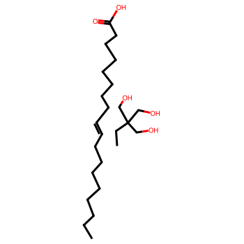 CCC(CO)(CO)CO.CCCCCCCCC=CCCCCCCCC(=O)O